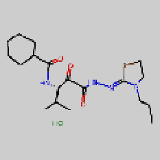 CCCN1CCS/C1=N\NC(=O)C(=O)[C@@H](NC(=O)C1CCCCC1)C(C)C.Cl